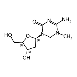 CN1CN([C@H]2C[C@H](O)[C@@H](CO)O2)C(=O)N=C1N